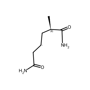 C[C@H](C[CH]CC(N)=O)C(N)=O